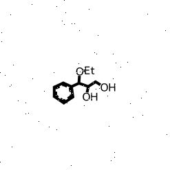 CCOC(c1ccccc1)C(O)CO